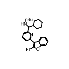 CCCCNC(c1cccc(-c2c(CC)oc3ccccc23)n1)C1CCCCC1